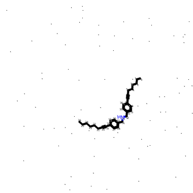 CCCCCCC#Cc1ccc(CNCc2ccc(C#CCCCCCC)cc2)cc1